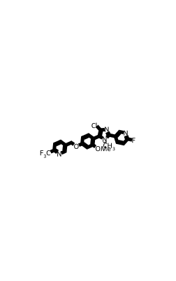 COc1cc(OCc2ccc(C(F)(F)F)nc2)ccc1-c1c(Cl)nc(-c2ccc(F)nc2)n1C